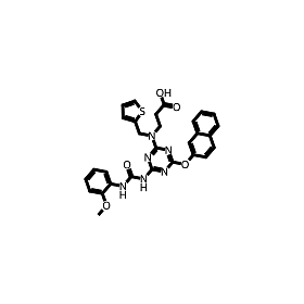 COc1ccccc1NC(=O)Nc1nc(Oc2ccc3ccccc3c2)nc(N(CCC(=O)O)Cc2cccs2)n1